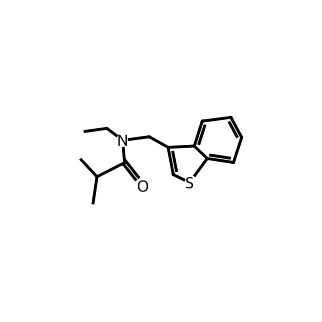 CCN(Cc1csc2ccccc12)C(=O)C(C)C